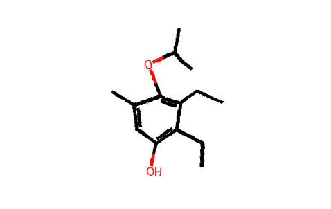 CCc1c(O)cc(C)c(OC(C)C)c1CC